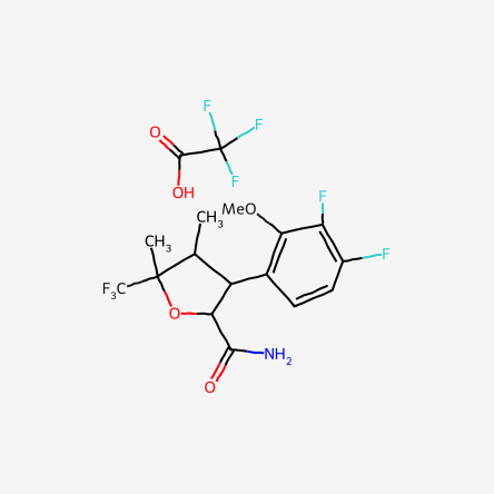 COc1c(C2C(C(N)=O)OC(C)(C(F)(F)F)C2C)ccc(F)c1F.O=C(O)C(F)(F)F